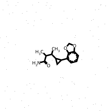 CC(C(N)=O)C(C)C1CC1c1cccc2c1OCO2